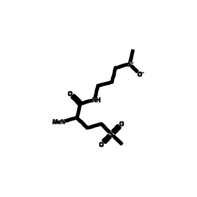 CN[C](CCS(C)(=O)=O)C(=O)NCCC[S+](C)[O-]